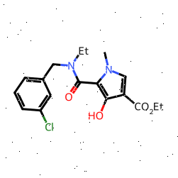 CCOC(=O)c1cn(C)c(C(=O)N(CC)Cc2cccc(Cl)c2)c1O